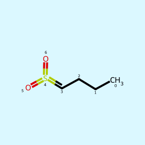 CCCC=S(=O)=O